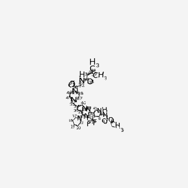 COC(=O)Nc1cc(C(F)(F)F)c(-c2nc(N3CCCCC3)c3cc(CN4CCN(C(=O)CNC(=O)C=C(C)C)CC4)cn3n2)cn1